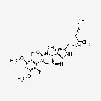 CCOC[C@@H](C)NCc1cc2c3c(cnc2[nH]1)CN(c1c(F)c(OC)cc(OC)c1F)C(=O)N3C